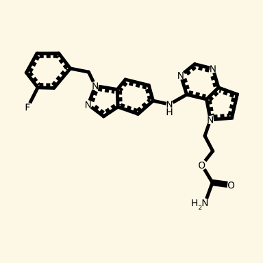 NC(=O)OCCn1ccc2ncnc(Nc3ccc4c(cnn4Cc4cccc(F)c4)c3)c21